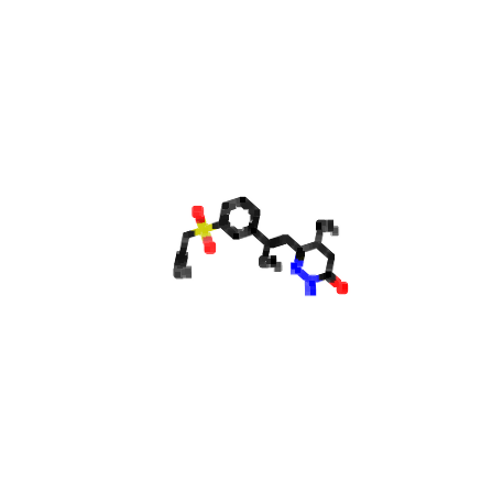 C#CCS(=O)(=O)c1cccc(C(C)=CC2=NNC(=O)CC2C)c1